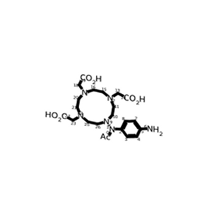 CC(=O)N(c1ccc(N)cc1)N1CCN(CC(=O)O)CCN(CC(=O)O)CCN(CC(=O)O)CC1